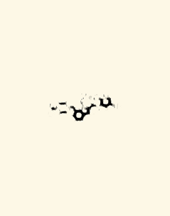 CCC(=O)N1CCN(Cc2cccc3cc(C(=O)Nc4cc(C(C)(C)C)cnc4OC)n(C)c23)CC1